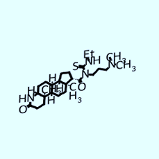 CCNC(=S)N(CCCN(C)C)C(=O)[C@H]1CC[C@H]2[C@@H]3CC[C@H]4NC(=O)CC[C@]4(C)[C@H]3CC[C@]12C